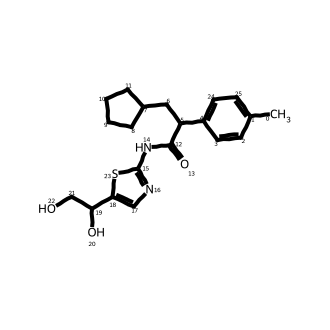 Cc1ccc(C(CC2CCCC2)C(=O)Nc2ncc(C(O)CO)s2)cc1